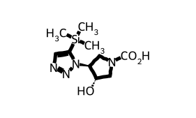 C[Si](C)(C)c1cnnn1[C@H]1CN(C(=O)O)C[C@@H]1O